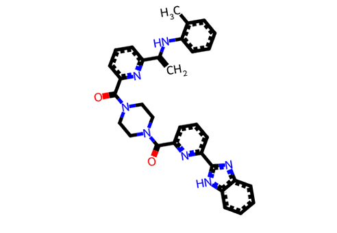 C=C(Nc1ccccc1C)c1cccc(C(=O)N2CCN(C(=O)c3cccc(-c4nc5ccccc5[nH]4)n3)CC2)n1